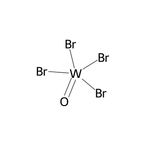 [O]=[W]([Br])([Br])([Br])[Br]